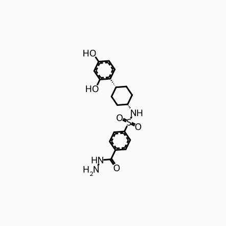 NNC(=O)c1ccc(S(=O)(=O)N[C@H]2CC[C@@H](c3ccc(O)cc3O)CC2)cc1